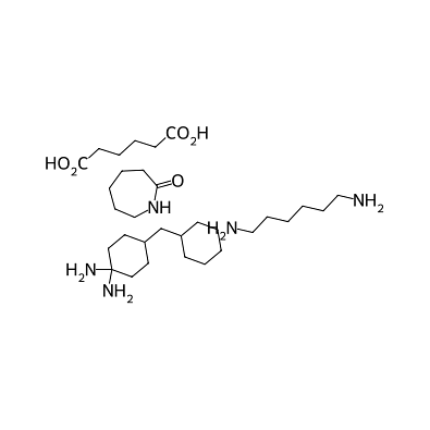 NC1(N)CCC(CC2CCCCC2)CC1.NCCCCCCN.O=C(O)CCCCC(=O)O.O=C1CCCCCN1